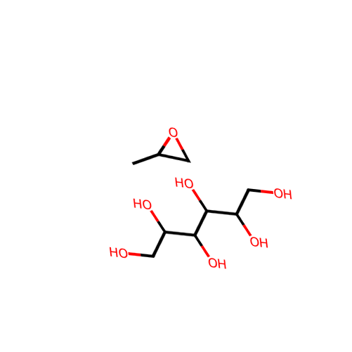 CC1CO1.OCC(O)C(O)C(O)C(O)CO